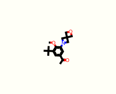 COc1c(N2CC3(COC3)C2)cc(C(C)=O)cc1C(C)(C)C